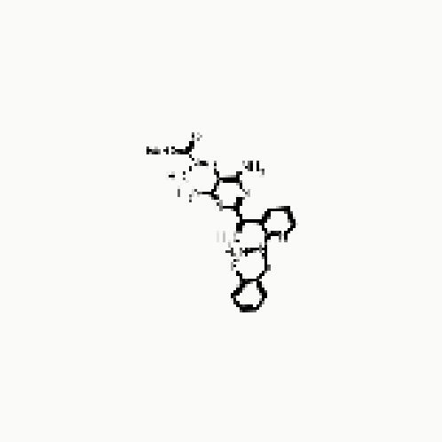 C=C(c1nc(N)c(ON(C)C(=O)OC)c(N)n1)c1cccnc1N(N)Cc1ccccc1F